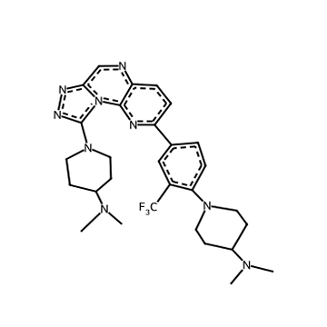 CN(C)C1CCN(c2ccc(-c3ccc4ncc5nnc(N6CCC(N(C)C)CC6)n5c4n3)cc2C(F)(F)F)CC1